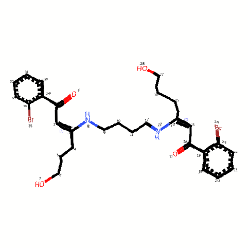 O=C(/C=C(/CCCO)NCCCCN/C(=C\C(=O)c1ccccc1Br)CCCO)c1ccccc1Br